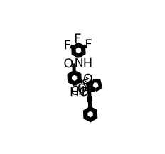 O=C(Nc1cc(F)c(F)c(F)c1)c1ccc(Cl)c(S(=O)(=O)[C@@H]2C3CCC2[C@](O)(C#Cc2ccccc2)C3)c1